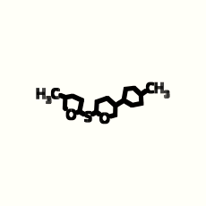 CC1CCC(C2CCC(SC3CCC(C)CO3)OC2)CC1